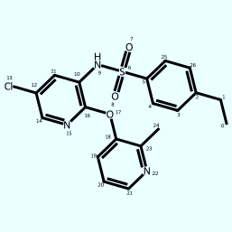 CCc1ccc(S(=O)(=O)Nc2cc(Cl)cnc2Oc2cccnc2C)cc1